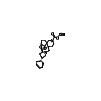 CC(C)(C)OC(=O)N1CC[C@@](O)(CN2C[C@H](c3ccccc3)CC2=O)C2(CCCC2)C1